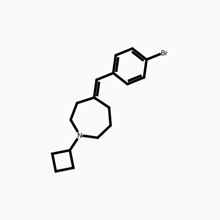 Brc1ccc(C=C2CCCN(C3CCC3)CC2)cc1